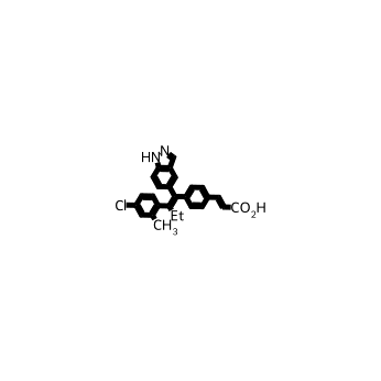 CCC(=C(c1ccc(C=CC(=O)O)cc1)c1ccc2[nH]ncc2c1)c1ccc(Cl)cc1C